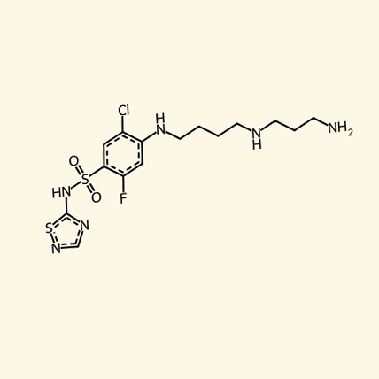 NCCCNCCCCNc1cc(F)c(S(=O)(=O)Nc2ncns2)cc1Cl